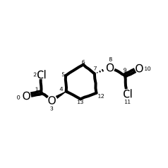 O=C(Cl)O[C@H]1CC[C@H](OC(=O)Cl)CC1